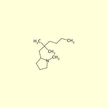 CCCCC(C)(C)CC1CCCN1C